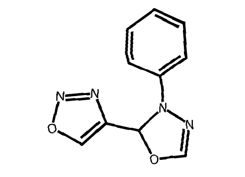 C1=NN(c2ccccc2)C(c2conn2)O1